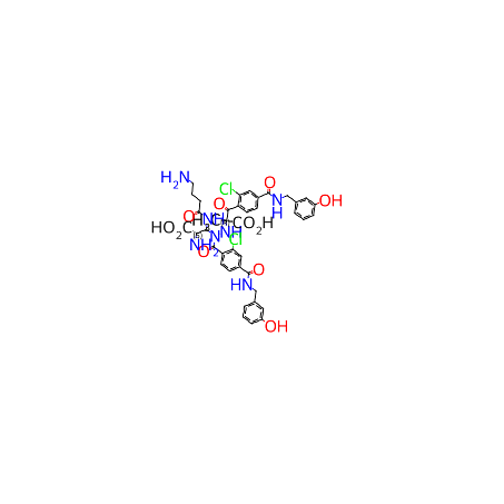 C[C@](NN(C(=O)c1ccc(C(=O)NCc2cccc(O)c2)cc1Cl)C(NC(=O)CCCN)[C@H](N)C(=O)O)(C(=O)O)C(=O)c1ccc(C(=O)NCc2cccc(O)c2)cc1Cl